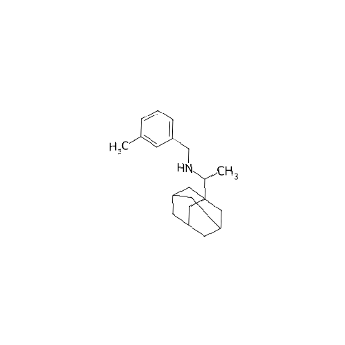 Cc1cccc(CNC(C)C23CC4CC(CC(C4)C2)C3)c1